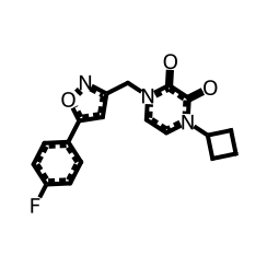 O=c1c(=O)n(C2CCC2)ccn1Cc1cc(-c2ccc(F)cc2)on1